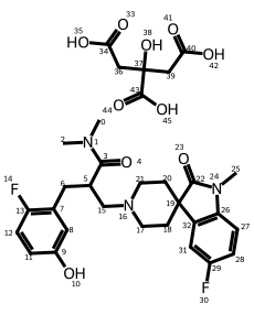 CN(C)C(=O)C(Cc1cc(O)ccc1F)CN1CCC2(CC1)C(=O)N(C)c1ccc(F)cc12.O=C(O)CC(O)(CC(=O)O)C(=O)O